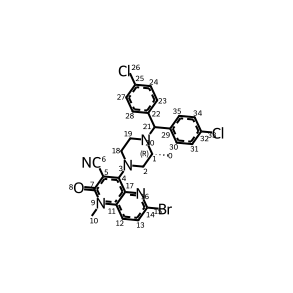 C[C@@H]1CN(c2c(C#N)c(=O)n(C)c3ccc(Br)nc23)CCN1C(c1ccc(Cl)cc1)c1ccc(Cl)cc1